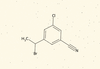 CC(Br)c1cc(Cl)cc(C#N)c1